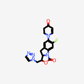 O=C1C=CN(c2cc3c(cc2F)N2C(=O)OC(Cn4ccnn4)C2C3)CC1